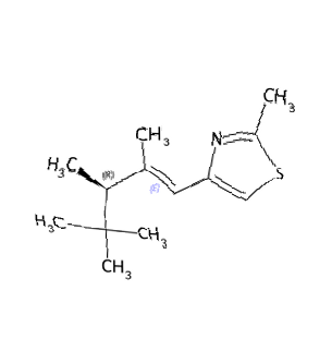 C/C(=C\c1csc(C)n1)[C@H](C)C(C)(C)C